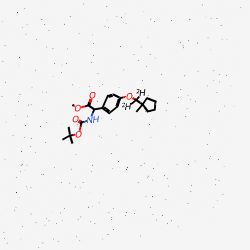 [2H]C([2H])(Oc1ccc(C(NC(=O)OC(C)(C)C)C(=O)OC)cc1)C1(C)CCCC1